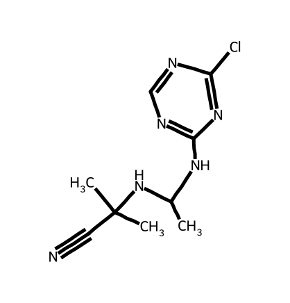 CC(Nc1ncnc(Cl)n1)NC(C)(C)C#N